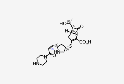 C[C@@H](O)[C@H]1C(=O)N2C(C(=O)O)=C(S[C@@H]3CN[C@H](/C=C\C(=O)N4CCNCC4)C3)C[C@H]12